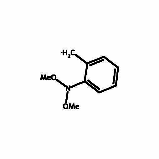 [CH2]c1ccccc1N(OC)OC